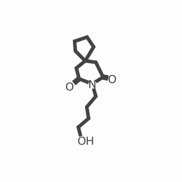 O=C1CC2(CCCC2)CC(=O)N1CCCCO